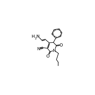 CCCCN1C(=O)C(C#N)=C(C=CN)C(c2ccccc2)C1=O